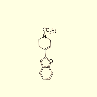 CCOC(=O)N1CC=C(c2cc3ccccc3o2)CC1